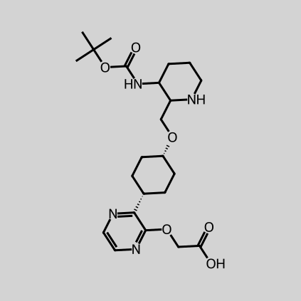 CC(C)(C)OC(=O)NC1CCCNC1CO[C@H]1CC[C@@H](c2nccnc2OCC(=O)O)CC1